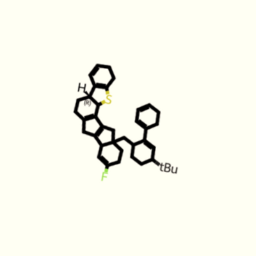 CC(C)(C)C1C=C(C2=CC=CCC2)C(CC23CCC(F)=CC2C2=C(C3)C3=C(CC[C@@H]4C5=C(CCC=C5)SC34)C2)CC1